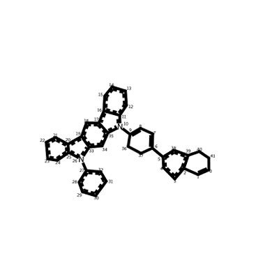 C1=Cc2ccc(C3=CC=C(n4c5ccccc5c5cc6c7ccccc7n(-c7ccccc7)c6cc54)CC3)cc2CC1